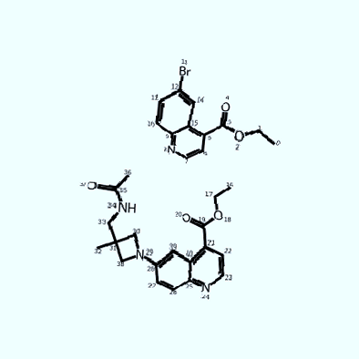 CCOC(=O)c1ccnc2ccc(Br)cc12.CCOC(=O)c1ccnc2ccc(N3CC(C)(CNC(C)=O)C3)cc12